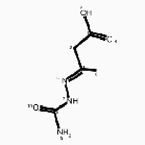 C/C(CC(=O)O)=N\NC(N)=O